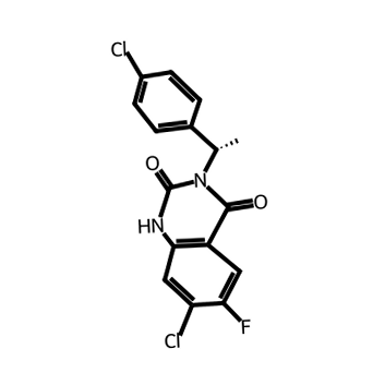 C[C@@H](c1ccc(Cl)cc1)n1c(=O)[nH]c2cc(Cl)c(F)cc2c1=O